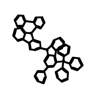 c1ccc(-c2cc([Si](c3ccccc3)(c3ccccc3)c3ccccc3)c3c4ccccc4n(-c4ccc5c6ccccc6n(-c6ccccc6-c6ccccc6)c5c4)c3c2)cc1